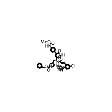 COC(=O)Nc1ccc(-c2cc([C@H](CC3CCN(C(=O)OCc4ccccc4)C3)NC(=O)C=Cc3cc(Cl)ccc3-n3cnnn3)n[nH]c2=O)cc1